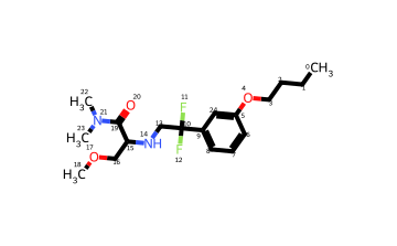 CCCCOc1cccc(C(F)(F)CNC(COC)C(=O)N(C)C)c1